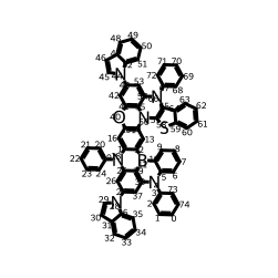 c1ccc(N2c3ccccc3B3c4cc5c(cc4N(c4ccccc4)c4cc(-n6ccc7ccccc76)cc2c43)Oc2cc(-n3ccc4ccccc43)cc3c2N5c2sc4ccccc4c2N3c2ccccc2)cc1